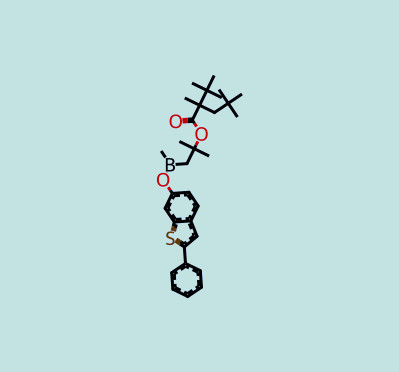 CB(CC(C)(C)OC(=O)C(C)(CC(C)(C)C)C(C)(C)C)Oc1ccc2cc(-c3ccccc3)sc2c1